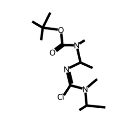 CC(/N=C(/Cl)N(C)C(C)C)N(C)C(=O)OC(C)(C)C